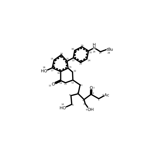 CC(=O)CC(=O)C(CO)C(CCO)CC1CC(=O)c2c(O)ccc(-c3ccc(NCC(C)(C)C)cc3)c2C1